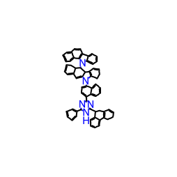 C1=CCC2C(=C1)C=C1C(C3=C(CCC=C3)N1c1ccc(C3=NC(c4ccccc4)NC(C4CC5=C(CCC=C5)c5ccccc54)=N3)c3ccccc13)C2n1c2ccccc2c2ccc3ccccc3c21